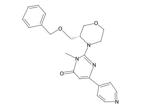 Cn1c(N2CCOC[C@H]2COCc2ccccc2)nc(-c2ccncc2)cc1=O